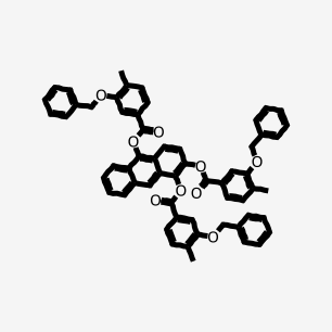 Cc1ccc(C(=O)Oc2ccc3c(OC(=O)c4ccc(C)c(OCc5ccccc5)c4)c4ccccc4cc3c2OC(=O)c2ccc(C)c(OCc3ccccc3)c2)cc1OCc1ccccc1